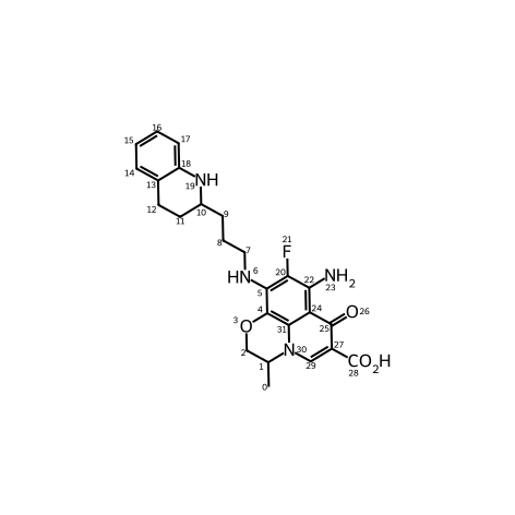 CC1COc2c(NCCCC3CCc4ccccc4N3)c(F)c(N)c3c(=O)c(C(=O)O)cn1c23